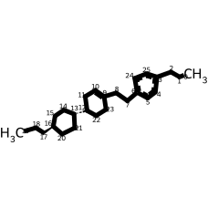 CCCc1ccc(CCC2=CCC([C@H]3CC[C@H](CCC)CC3)CC2)cc1